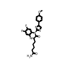 COc1ccc(-c2csc(N(C(=O)CCCCCC(N)=O)c3cc(F)c(F)cc3N)n2)cc1